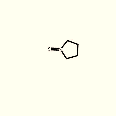 S=S1CCCC1